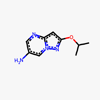 CC(C)Oc1cc2ncc(N)cn2n1